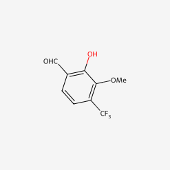 COc1c(C(F)(F)F)ccc(C=O)c1O